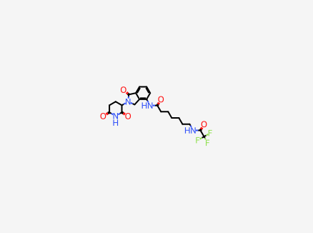 O=C1CCC(N2Cc3c(NC(=O)CCCCCCNC(=O)C(F)(F)F)cccc3C2=O)C(=O)N1